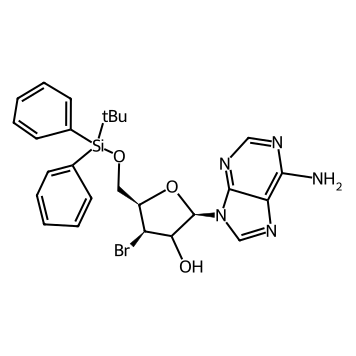 CC(C)(C)[Si](OC[C@H]1O[C@@H](n2cnc3c(N)ncnc32)C(O)[C@H]1Br)(c1ccccc1)c1ccccc1